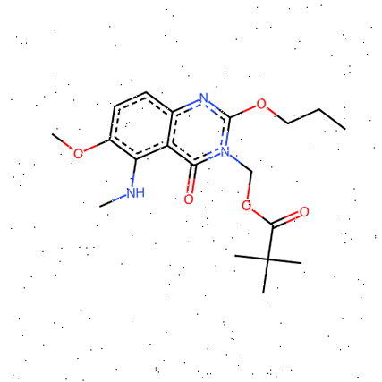 CCCOc1nc2ccc(OC)c(NC)c2c(=O)n1COC(=O)C(C)(C)C